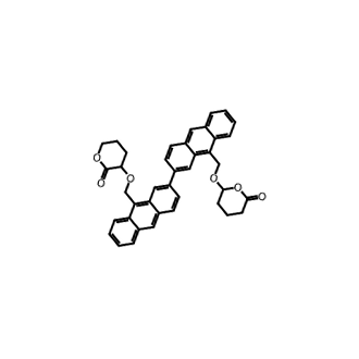 O=C1CCCC(OCc2c3ccccc3cc3ccc(-c4ccc5cc6ccccc6c(COC6CCCOC6=O)c5c4)cc23)O1